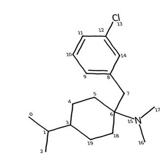 CC(C)C1CCC(Cc2cccc(Cl)c2)(N(C)C)CC1